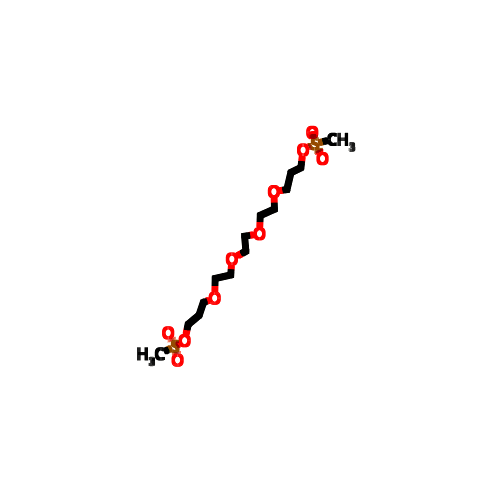 CS(=O)(=O)OCCCOCCOCCOCCOCCCOS(C)(=O)=O